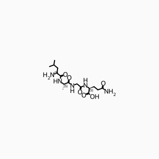 CC(C)C[C@H](N)C(=O)N[C@@H](C)C(=O)NCC(=O)N[C@@H](CCC(N)=O)C(=O)O